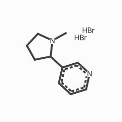 Br.Br.CN1CCCC1c1cccnc1